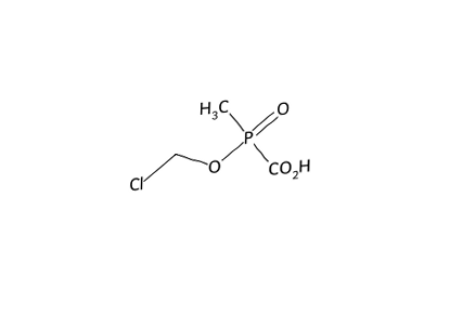 CP(=O)(OCCl)C(=O)O